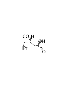 CC(C)CC(C[PH](=O)O)C(=O)O